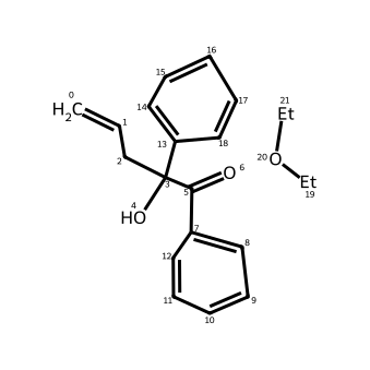 C=CCC(O)(C(=O)c1ccccc1)c1ccccc1.CCOCC